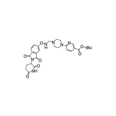 CC(C)(C)OC(=O)c1ccc(N2CCN(CNOc3ccc4c(c3)C(=O)N(C3CCC(=O)NC3=O)C4=O)CC2)nc1